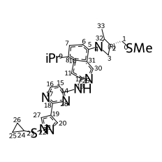 CSC[C@@H]1CN(c2ccc(C(C)C)c3cc(Nc4ccnc(-c5cnn(SC6CC6)c5)n4)ncc23)C1C